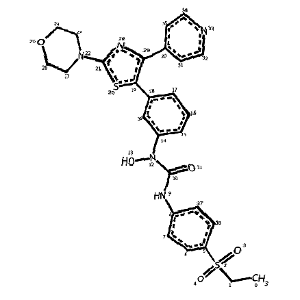 CCS(=O)(=O)c1ccc(NC(=O)N(O)c2cccc(-c3sc(N4CCOCC4)nc3-c3ccncc3)c2)cc1